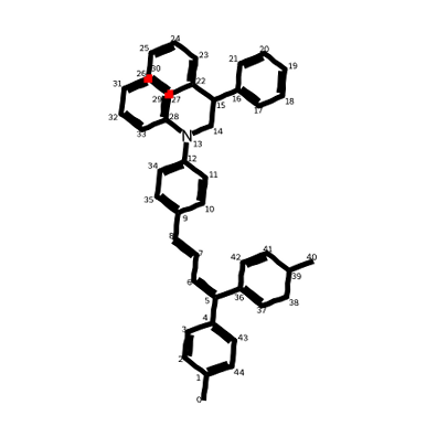 Cc1ccc(/C(=C/C=C/c2ccc(N(CC(c3ccccc3)c3ccccc3)c3ccccc3)cc2)C2=CCC(C)C=C2)cc1